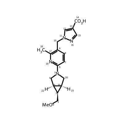 COC[C@H]1[C@H]2CN(c3ccc(Cn4cc(C(=O)O)cn4)c(C)n3)C[C@@H]12